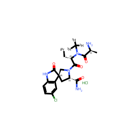 Cl.[2H]C([2H])([2H])N(C(=O)[C@H](C)N)[C@@H](CC(C)C)C(=O)N1C[C@]2(C[C@H]1C(N)=O)C(=O)Nc1ccc(Cl)cc12